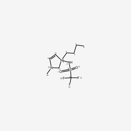 CCCC[N+]1(NS(=O)(=O)C(F)(F)F)C=CN(C)C1